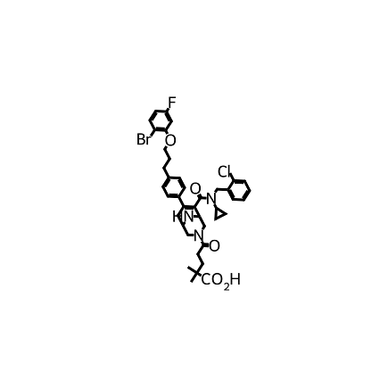 CC(C)(CCC(=O)N1CC2CC(c3ccc(CCCOc4cc(F)ccc4Br)cc3)=C(C(=O)N(Cc3ccccc3Cl)C3CC3)C(C1)N2)C(=O)O